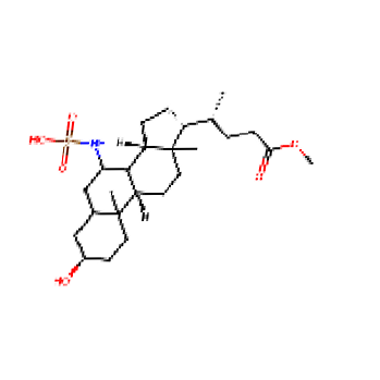 COC(=O)CC[C@@H](C)[C@H]1CC[C@H]2C3C(NS(=O)(=O)O)CC4C[C@H](O)CCC4(C)[C@H]3CCC12C